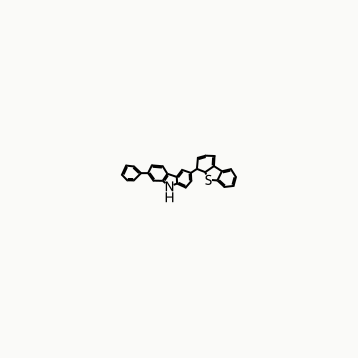 C1=CC(c2ccc3[nH]c4cc(-c5ccccc5)ccc4c3c2)C2Sc3ccccc3C2=C1